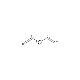 C=[C]O[C]=C